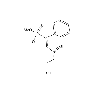 COP(=O)([O-])c1c[n+](CCO)nc2ccccc12